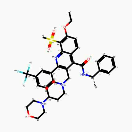 CCOc1ccc2c(C(=O)N[C@@H](C)c3ccccc3)c(CN3CCC(N4CCOCC4)CC3)c(-c3cccc(C(F)(F)F)c3)nc2c1S(C)(=O)=O